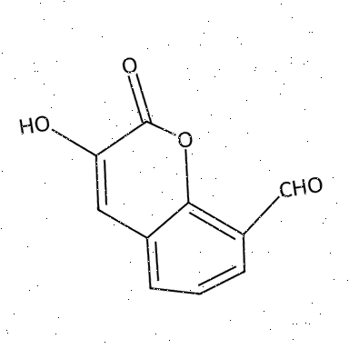 O=Cc1cccc2cc(O)c(=O)oc12